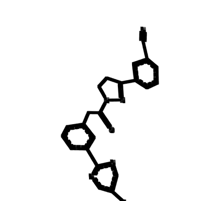 N#Cc1cccc(C2=NN(C(=O)Cc3cccc(-c4ncc(Br)cn4)c3)CC2)c1